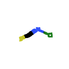 S=C=NCl